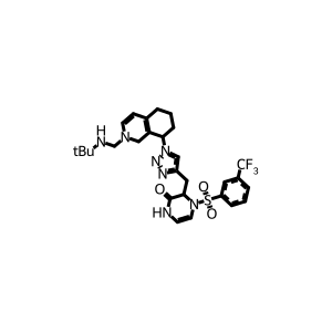 CC(C)(C)NCN1C=CC2=C(C1)C(n1cc(CC3C(=O)NC=CN3S(=O)(=O)c3cccc(C(F)(F)F)c3)nn1)CCC2